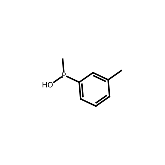 Cc1cccc(P(C)O)c1